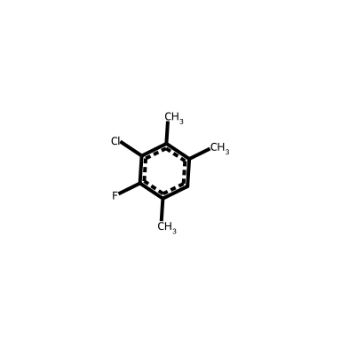 Cc1cc(C)c(F)c(Cl)c1C